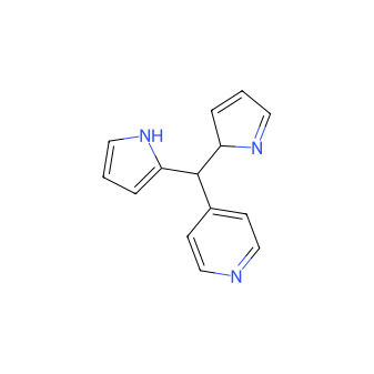 C1=CC(C(c2ccncc2)c2ccc[nH]2)N=C1